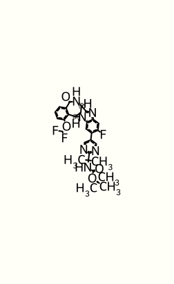 CC(C)(C)OC(=O)NC(C)(C)c1ncc(-c2cc3c(cc2F)nc2n3[C@@H]3C[C@H]2NC(=O)c2cccc(OC(F)F)c23)cn1